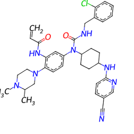 C=CC(=O)Nc1cc(N(C(=O)NCc2ccccc2Cl)C2CCC(Nc3ccc(C#N)cn3)CC2)ccc1N1CCN(C)C(C)C1